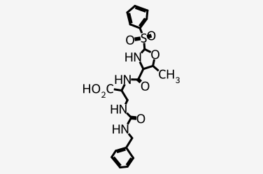 CC1OC(S(=O)(=O)c2ccccc2)NC1C(=O)NC(CNC(=O)NCc1ccccc1)C(=O)O